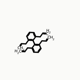 C=CCc1cccc(CC=C)c1-c1c(CC=C)cccc1CC=C